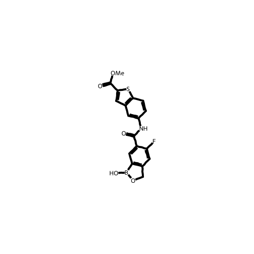 COC(=O)c1cc2cc(NC(=O)c3cc4c(cc3F)COB4O)ccc2s1